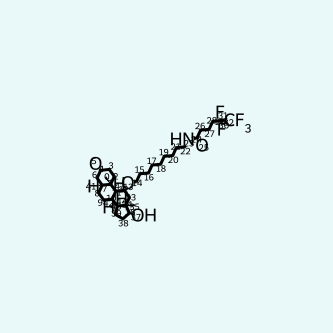 C[C@]12CCC(=O)C[C@@H]1CC[C@@H]1[C@@H]2[C@@H](OCCCCCCCCCNC(=O)CCCC(F)(F)C(F)(F)F)C[C@]2(C)[C@@H](O)CC[C@@H]12